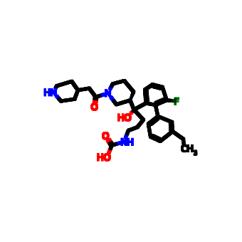 CCc1cccc(-c2c(F)cccc2[C@](O)(CCCNC(=O)O)[C@@H]2CCCN(C(=O)CC3CCNCC3)C2)c1